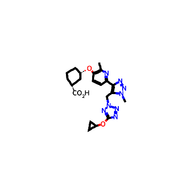 Cc1nc(-c2nnn(C)c2Cn2nnc(OC3CC3)n2)ccc1O[C@H]1CCC[C@@H](C(=O)O)C1